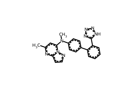 Cc1cc(N(C)c2ccc(-c3ccccc3-c3nnn[nH]3)cc2)n2nccc2n1